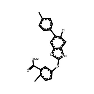 COC(=O)c1cc(Oc2nc3cc(-c4ccc(C)cc4)c(Cl)cc3[nH]2)ccc1C